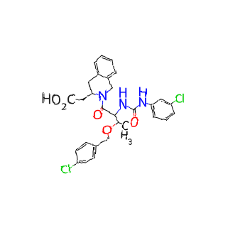 CC(OCc1ccc(Cl)cc1)C(NC(=O)Nc1cccc(Cl)c1)C(=O)N1Cc2ccccc2C[C@@H]1CC(=O)O